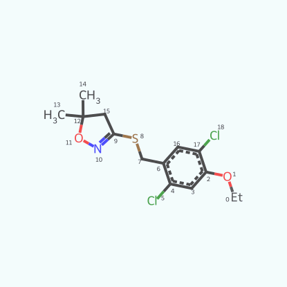 CCOc1cc(Cl)c(CSC2=NOC(C)(C)C2)cc1Cl